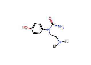 CCC(C)N(CC)CCN(C(N)=O)c1ccc(O)cc1